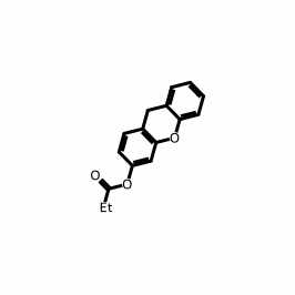 CCC(=O)Oc1ccc2c(c1)Oc1ccccc1C2